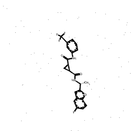 C[C@@H](NC(=O)C1CC1C(=O)Nc1cccc(C(F)(F)F)c1)c1cc2cc(F)ccc2o1